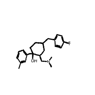 Cc1cccc(C2(O)CCC(Cc3ccc(F)cc3)CC2CN(C)C)c1